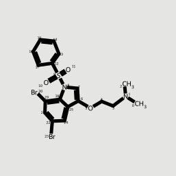 CN(C)CCOc1cn(S(=O)(=O)c2ccccc2)c2c(Br)cc(Br)cc12